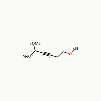 CCOCCC#CC(OC)OC